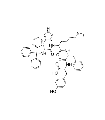 NCCCC[C@H](NC(=O)[C@@H](Cc1c[nH]cn1)NC(c1ccccc1)(c1ccccc1)c1ccccc1)C(=O)N[C@@H](Cc1ccccc1)C(=O)N[C@@H](Cc1ccc(O)cc1)C(=O)O